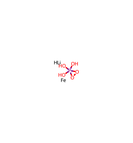 OP1(O)(O)OO1.[Fe].[LiH]